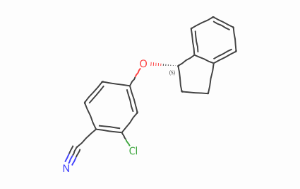 N#Cc1ccc(O[C@H]2CCc3ccccc32)cc1Cl